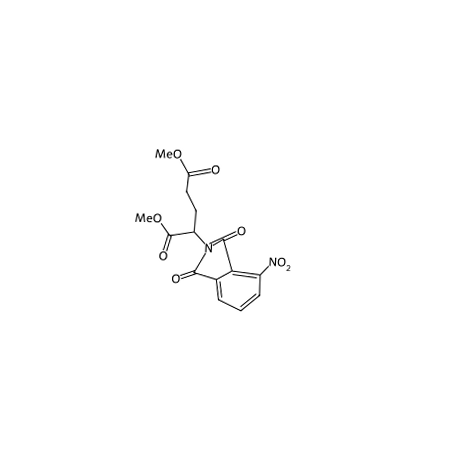 COC(=O)CCC(C(=O)OC)N1C(=O)c2cccc([N+](=O)[O-])c2C1=O